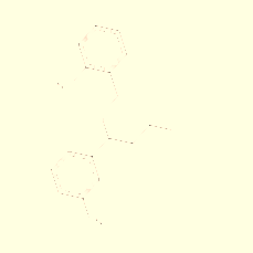 N#Cc1cccc(C(CCC(=O)O)OCc2ccccc2C#N)c1